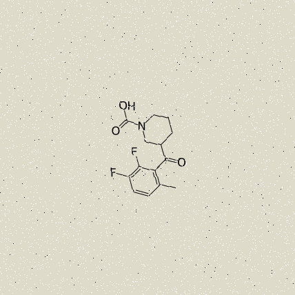 Cc1ccc(F)c(F)c1C(=O)C1CCCN(C(=O)O)C1